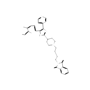 C\C=C(Cl)/C(Cl)=C\C=C\c1[nH]c(C2CCN(CCCCN3C(=O)c4ccccc4C3=O)CC2)nc1-c1ccncc1